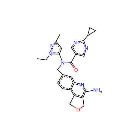 CCn1nc(C)cc1N(Cc1ccc2c3c(c(N)nc2c1)COC3)C(=O)c1cnc(C2CC2)nc1